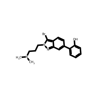 CN(C)CCCn1nc2cc(-c3ccccc3O)ccc2c1Br